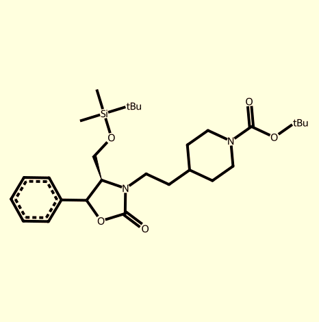 CC(C)(C)OC(=O)N1CCC(CCN2C(=O)OC(c3ccccc3)[C@H]2CO[Si](C)(C)C(C)(C)C)CC1